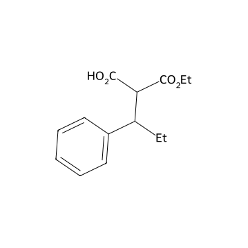 CCOC(=O)C(C(=O)O)C(CC)c1ccccc1